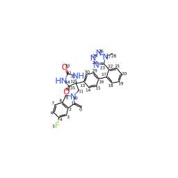 C=C1c2cc(F)ccc2CN1CC1(c2ccc(-c3ccccc3-c3nnnn3C)cc2)NC(=O)NC1=O